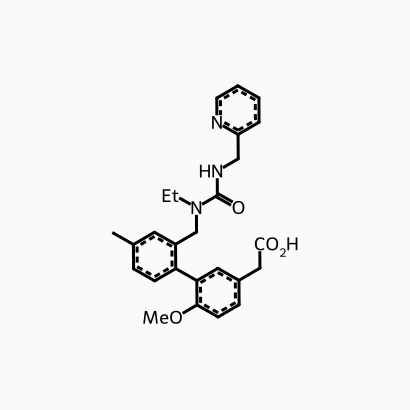 CCN(Cc1cc(C)ccc1-c1cc(CC(=O)O)ccc1OC)C(=O)NCc1ccccn1